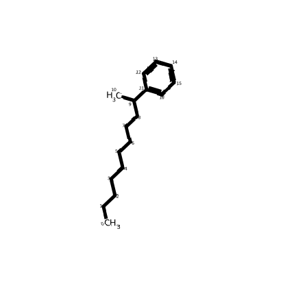 CCCCCCCCCC(C)c1[c]cccc1